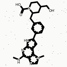 CNc1nc2[nH]c(-c3cccc(CC4CC(CO)CCN4C(=O)O)c3)cc2c2c1ncn2C